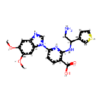 COc1cc2ncn(-c3ccc(C(=O)O)c(NC(CN)c4ccsc4)n3)c2cc1OC